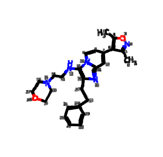 Cc1noc(C)c1-c1ccn2c(NCCN3CCOCC3)c(CCc3ccccc3)nc2c1